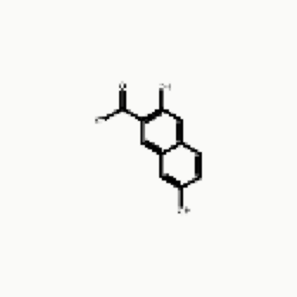 O=C(Cl)c1cc2cc(O)ccc2cc1O